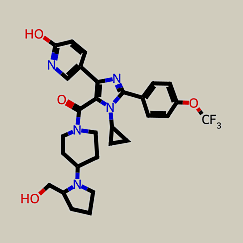 O=C(c1c(-c2ccc(O)nc2)nc(-c2ccc(OC(F)(F)F)cc2)n1C1CC1)N1CCC(N2CCCC2CO)CC1